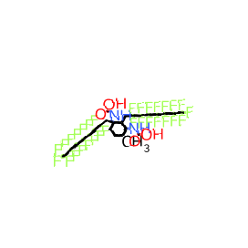 CC1CCC(CC(F)(F)C(F)(F)C(F)(F)C(F)(F)C(F)(F)C(F)(F)C(F)(F)F)(NC(=O)O)C(CC(F)(F)C(F)(F)C(F)(F)C(F)(F)C(F)(F)C(F)(F)C(F)(F)F)C1NC(=O)O